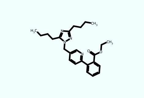 CCCCc1nc(CCCC)n(Cc2ccc(-c3ccccc3C(=O)OCC)nc2)n1